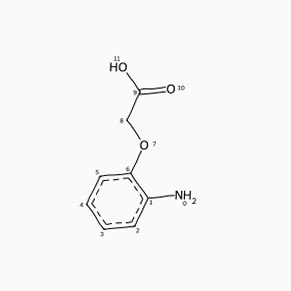 Nc1ccccc1OCC(=O)O